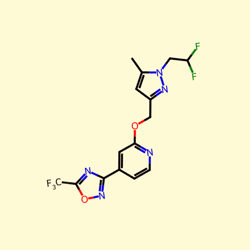 Cc1cc(COc2cc(-c3noc(C(F)(F)F)n3)ccn2)nn1CC(F)F